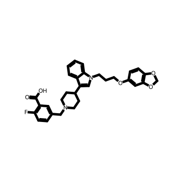 O=C(O)c1cc(CN2CCC(c3cn(CCCOc4ccc5c(c4)OCO5)c4ccccc34)CC2)ccc1F